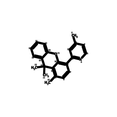 Cc1ccnc(-c2ccc(C)c3c2Oc2ccccc2C3(C)C)c1